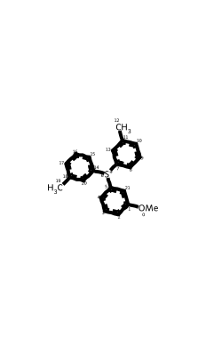 COc1cccc([S+](c2cccc(C)c2)c2cccc(C)c2)c1